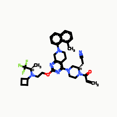 C=CC(=O)N1CCN(c2nc(OCCN(C3CCC3)[C@@H](C)C(F)(F)F)nc3c2CCN(c2cccc4cccc(C)c24)C3)C[C@@H]1CC#N